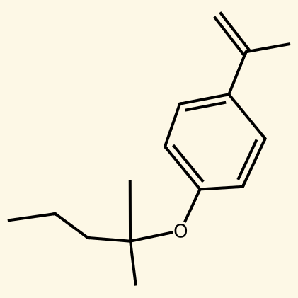 C=C(C)c1ccc(OC(C)(C)CCC)cc1